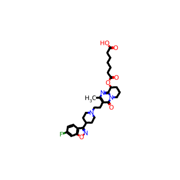 Cc1nc2n(c(=O)c1CCN1CCC(c3noc4cc(F)ccc34)CC1)CCCC2OC(=O)CCCCCC(=O)O